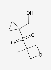 CC1(S(=O)(=O)C2(CO)CC2)COC1